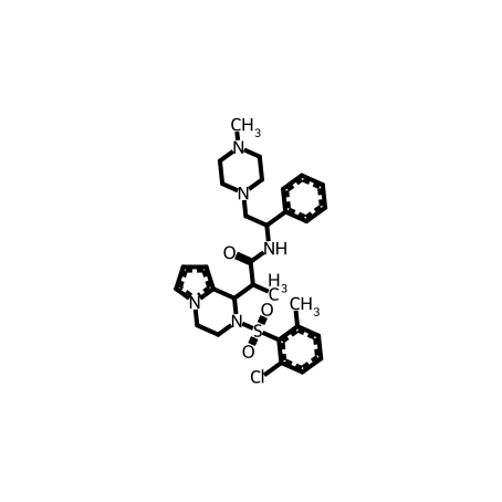 Cc1cccc(Cl)c1S(=O)(=O)N1CCn2cccc2C1C(C)C(=O)NC(CN1CCN(C)CC1)c1ccccc1